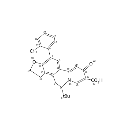 CC(C)(C)C1Cc2c(cc(-c3ccccc3Cl)c3c2CCO3)-c2cc(=O)c(C(=O)O)cn21